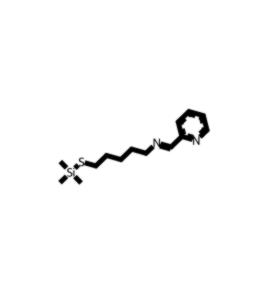 C[Si](C)(C)SCCCCCN=Cc1ccccn1